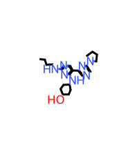 CCCCNc1ncc(-c2cncc(N3CCCC3)n2)c(NC2CCC(O)CC2)n1